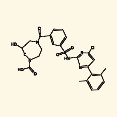 Cc1cccc(C)c1-c1cc(Cl)nc(NS(=O)(=O)c2cccc(C(=O)N3CCN(C(=O)O)CC(O)C3)c2)n1